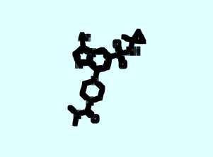 CC(=O)c1cnc2c(N3CCN(C(=O)N(C)C)CC3)cc(S(=O)(=O)NC3(C)CC3)cn12